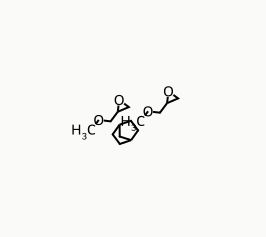 C1CC2CCC1C2.COCC1CO1.COCC1CO1